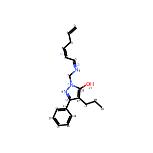 C=CC/C=C\C=N/Cn1nc(-c2ccccc2)c(CCC)c1O